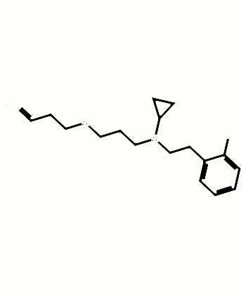 C=CCCNCCCN(CCc1ccccc1C)C1CC1